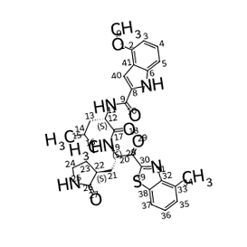 COc1cccc2[nH]c(C(=O)N[C@@H](CC(C)C)C(=O)N[C@@H](C[C@@H]3CCNC3=O)C(=O)c3nc4c(C)cccc4s3)cc12